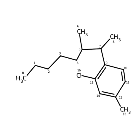 CCCCCC(C)C(C)c1ccc(C)cc1Cl